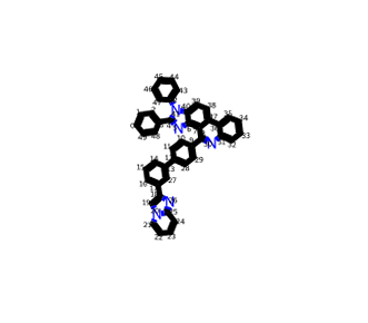 c1ccc(-c2nc3c4c(-c5ccc(-c6cccc(-c7cn8ccccc8n7)c6)cc5)nc5ccccc5c4ccc3n2-c2ccccc2)cc1